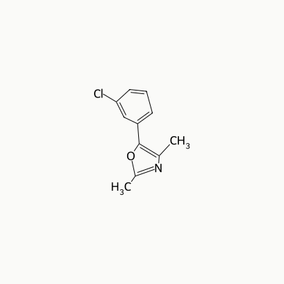 Cc1nc(C)c(-c2cccc(Cl)c2)o1